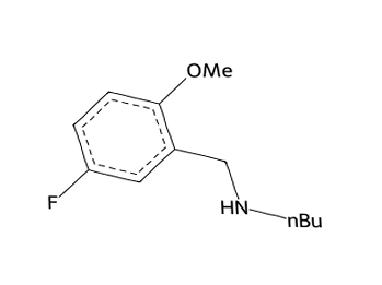 CCCCNCc1cc(F)ccc1OC